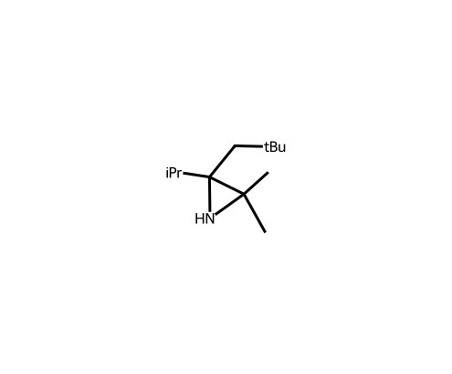 CC(C)C1(CC(C)(C)C)NC1(C)C